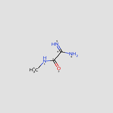 CNC(=O)C(=N)N